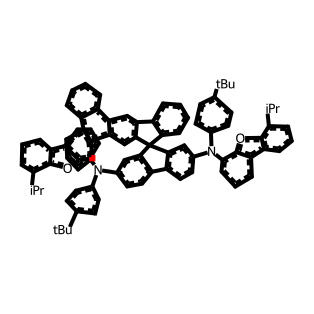 CC(C)c1cccc2c1oc1c(N(c3ccc(C(C)(C)C)cc3)c3ccc4c(c3)C3(c5ccccc5-c5cc6c7ccccc7c7ccccc7c6cc53)c3cc(N(c5ccc(C(C)(C)C)cc5)c5cccc6c5oc5c(C(C)C)cccc56)ccc3-4)cccc12